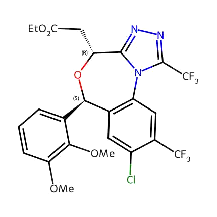 CCOC(=O)C[C@H]1O[C@H](c2cccc(OC)c2OC)c2cc(Cl)c(C(F)(F)F)cc2-n2c1nnc2C(F)(F)F